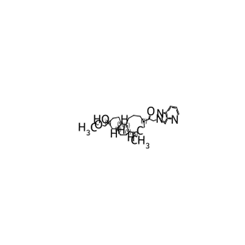 COC[C@@]1(O)CC[C@H]2[C@H](CC[C@@H]3[C@@H]2CCC[C@@H](C(=O)Cn2cc4ncccc4n2)CC[C@@H]3C)C1